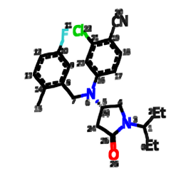 CCC(CC)N1C[C@@H](N(Cc2cc(F)ccc2C)c2ccc(C#N)c(Cl)c2)CC1=O